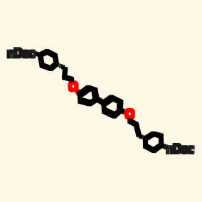 CCCCCCCCCC[C@H]1CC[C@H](CCCOc2ccc(-c3ccc(OCCC[C@H]4CC[C@H](CCCCCCCCCC)CC4)cc3)cc2)CC1